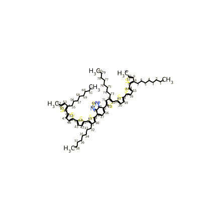 CCCCCCCCc1cc(C)sc1-c1ccc(-c2ccc(-c3sc(-c4ccc(-c5cc(CCCCCCCC)c(-c6ccc(-c7ccc(-c8sc(C)cc8CCCCCCCC)s7)s6)s5)c5nsnc45)cc3CCCCCCCC)s2)s1